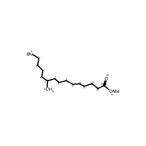 CCC(C)CCCCC(C)CCCCCCCCC(=O)OC